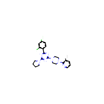 FC(F)(F)c1cccnc1N1CCN(c2nc(-c3ccc(Cl)cc3Cl)nc(N3CCCC3)n2)CC1